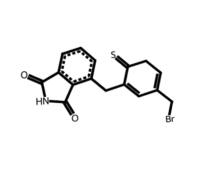 O=C1NC(=O)c2c(CC3=CC(CBr)=CCC3=S)cccc21